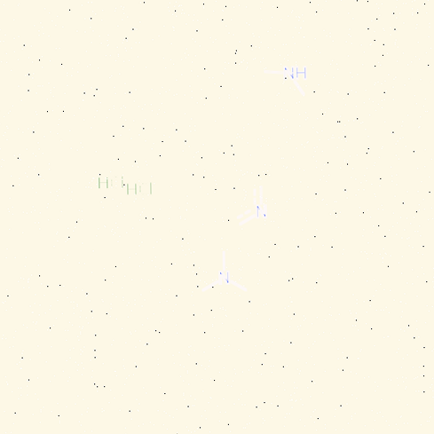 CC1CNCCc2ccc(N3CCCCC3)nc21.Cl.Cl